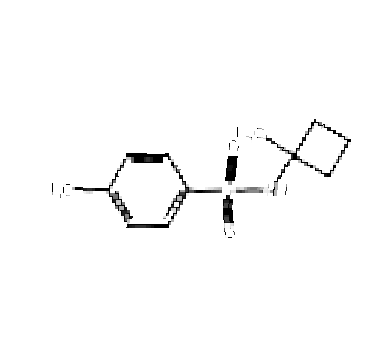 Cc1ccc(S(=O)(=O)NC2(C)CCC2)cc1